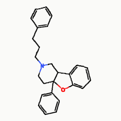 c1ccc(CCCN2CCC3(c4ccccc4)Oc4ccccc4C3C2)cc1